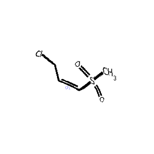 CS(=O)(=O)/C=C\CCl